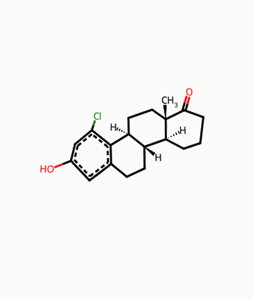 C[C@]12CC[C@@H]3c4c(Cl)cc(O)cc4CC[C@H]3[C@@H]1CCCC2=O